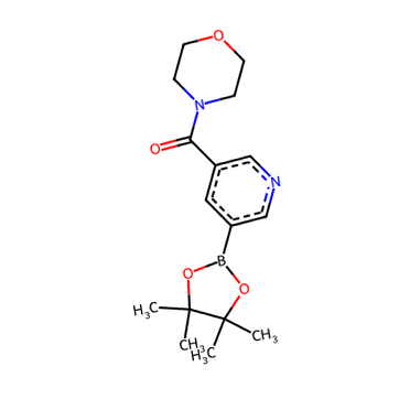 CC1(C)OB(c2cncc(C(=O)N3CCOCC3)c2)OC1(C)C